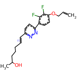 C=CCOc1ccc(-c2ccc(/C=C/CCCC(C)O)nn2)c(F)c1F